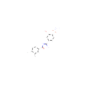 NS(=O)(=O)c1ccc(-c2noc(-c3ccc(F)c(C(F)(F)F)c3)n2)cc1OC(F)(F)F